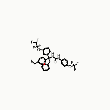 O=C(Nc1ccc(OC(F)(F)F)cc1)N[C@@](Cc1ccccc1)(c1cccc(OC(F)(F)C(F)F)c1)c1ccc(CI)cn1